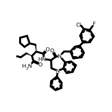 CCC[C@H](C(N)=O)[C@@H](CC1CCCC1)C(=O)NC1CN(c2ccccc2)c2ccccc2N(Cc2cccc(-c3ccc(F)c(Cl)c3)c2)C1=O